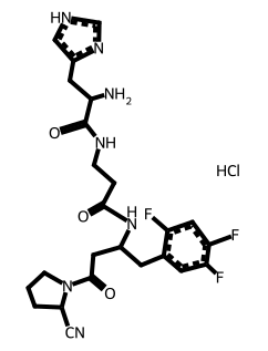 Cl.N#CC1CCCN1C(=O)CC(Cc1cc(F)c(F)cc1F)NC(=O)CCNC(=O)C(N)Cc1c[nH]cn1